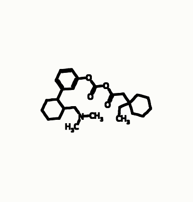 CCC1(CC(=O)OC(=O)Oc2cccc(C3CCCCC3CN(C)C)c2)CCCCC1